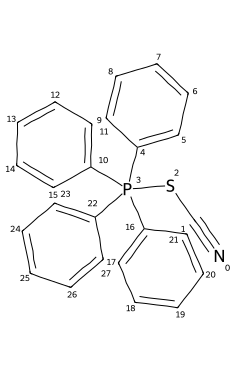 N#CSP(c1ccccc1)(c1ccccc1)(c1ccccc1)c1ccccc1